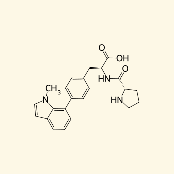 Cn1ccc2cccc(-c3ccc(C[C@H](NC(=O)[C@@H]4CCCN4)C(=O)O)cc3)c21